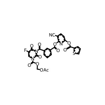 CC(=O)OCOC(=O)n1cc(F)c(=O)n(C(=O)c2cccc(C(=O)Oc3nc(OC(=O)c4cccs4)ccc3C#N)c2)c1=O